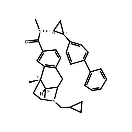 C[C@H]1C2Cc3ccc(C(=O)N(C)[C@@H]4C[C@H]4c4ccc(-c5ccccc5)cc4)cc3[C@@]1(C)CCN2CC1CC1